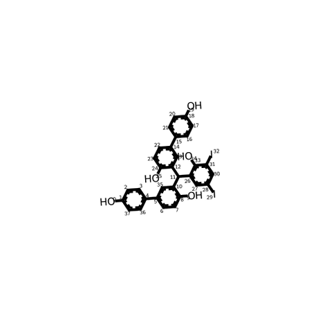 Oc1ccc(-c2ccc(O)c(C(c3cc(-c4ccc(O)cc4)ccc3O)c3cc(I)cc(I)c3O)c2)cc1